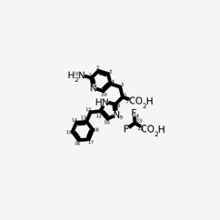 Nc1ccc(CC(C(=O)O)c2ncc(Cc3ccccc3)[nH]2)cn1.O=C(O)C(F)F